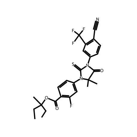 CCC(C)(CC)OC(=O)c1ccc(N2C(=S)N(c3ccc(C#N)c(C(F)(F)F)c3)C(=O)C2(C)C)cc1F